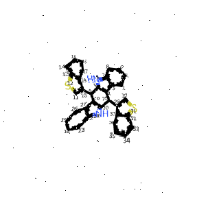 c1ccc2c3c([nH]c2c1)C(c1csc2ccccc12)c1c([nH]c2ccccc12)C3c1csc2ccccc12